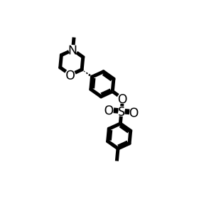 Cc1ccc(S(=O)(=O)Oc2ccc([C@H]3CN(C)CCO3)cc2)cc1